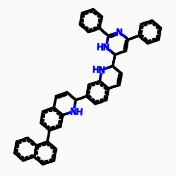 C1=CC(c2ccc3c(c2)NC(C2C=C(c4ccccc4)N=C(c4ccccc4)N2)C=C3)Nc2cc(-c3cccc4ccccc34)ccc21